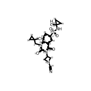 CC1(Cn2c(=O)n(C3CN(C#N)C3)c(=O)c3cc(S(=O)(=O)NC4(C)CC4)ccc32)CC1